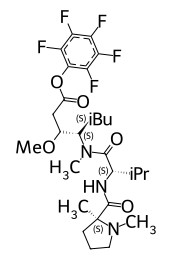 CC[C@H](C)[C@@H](C(CC(=O)Oc1c(F)c(F)c(F)c(F)c1F)OC)N(C)C(=O)[C@@H](NC(=O)[C@]1(C)CCCN1C)C(C)C